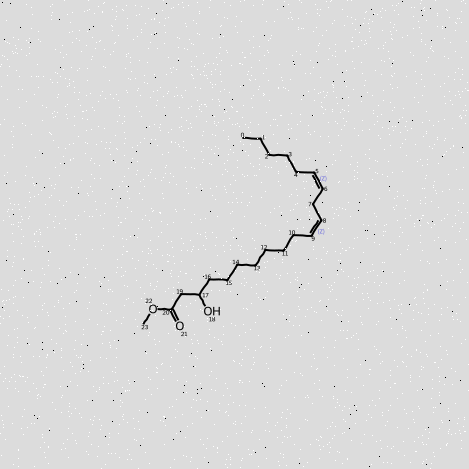 CCCCC/C=C\C/C=C\CCCCCCCC(O)CC(=O)OC